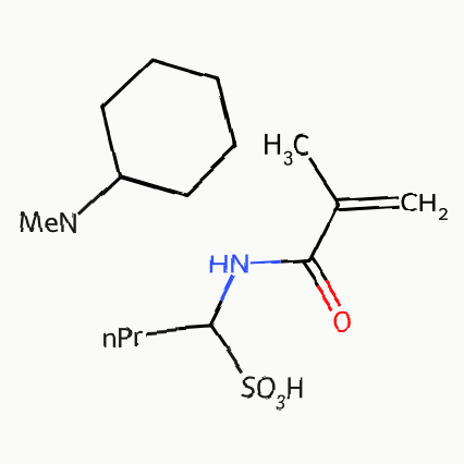 C=C(C)C(=O)NC(CCC)S(=O)(=O)O.CNC1CCCCC1